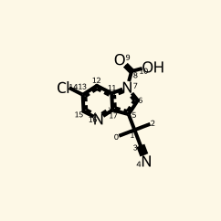 CC(C)(C#N)c1cn(C(=O)O)c2cc(Cl)cnc12